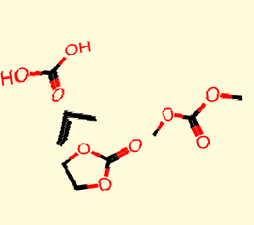 C=CC.COC(=O)OC.O=C(O)O.O=C1OCCO1